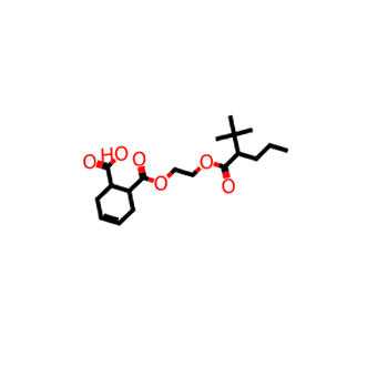 CCCC(C(=O)OCCOC(=O)C1CC=CCC1C(=O)O)C(C)(C)C